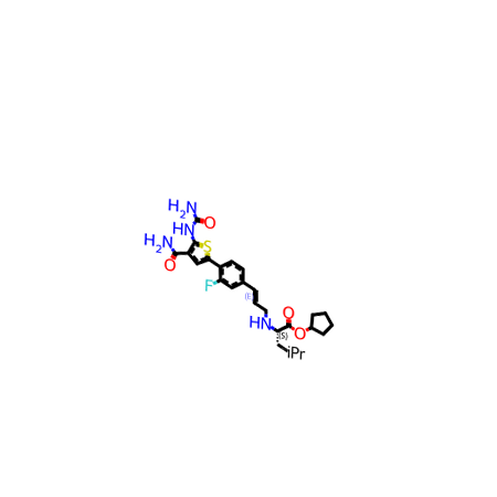 CC(C)C[C@H](NC/C=C/c1ccc(-c2cc(C(N)=O)c(NC(N)=O)s2)c(F)c1)C(=O)OC1CCCC1